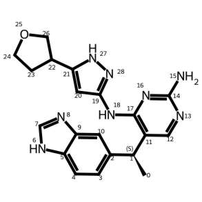 C[C@@H](c1ccc2[nH]cnc2c1)c1cnc(N)nc1Nc1cc(C2CCOC2)[nH]n1